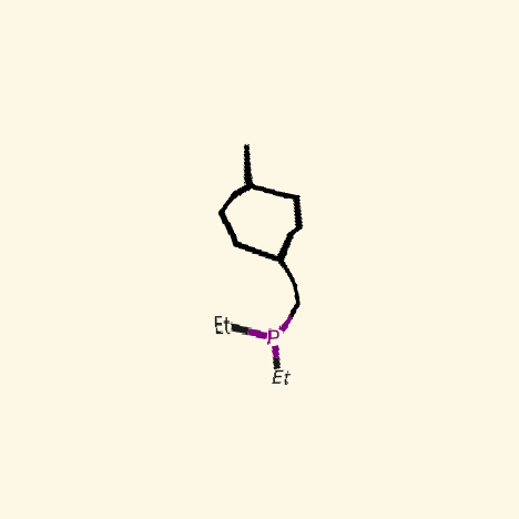 CCP(CC)CC1CCC(C)CC1